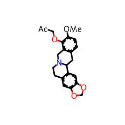 COc1ccc2c(c1OCC(C)=O)CN1CCc3cc4c(cc3C1C2)OCO4